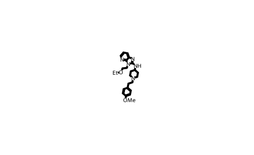 CCOCCn1c(NC2CCN(CCc3ccc(OC)cc3)CC2)nc2cccnc21